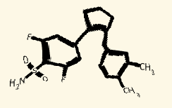 Cc1ccc(C2=C(c3cc(F)c(S(N)(=O)=O)c(F)c3)CCC2)cc1C